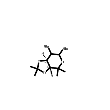 CC1(C)O[C@@H]2[C@@H](O1)C(C(C)(C)C)C(C(C)(C)C)OC2(C)C